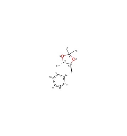 [CH2][C@@H]1OC(C)(C)O[C@H]1Cc1ccccc1